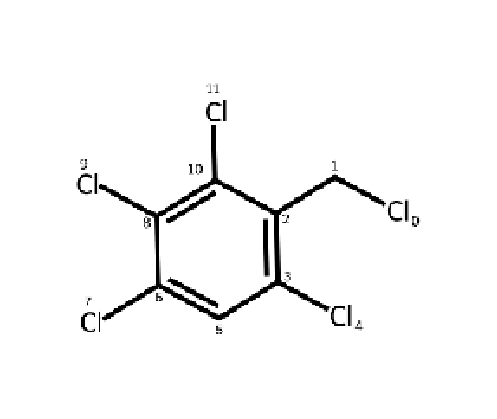 ClCc1c(Cl)cc(Cl)c(Cl)c1Cl